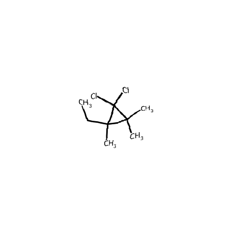 CCC1(C)C(C)(C)C1(Cl)Cl